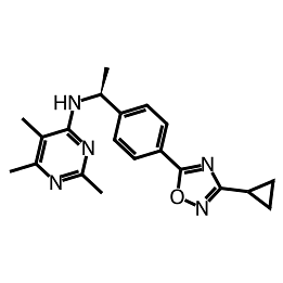 Cc1nc(C)c(C)c(N[C@@H](C)c2ccc(-c3nc(C4CC4)no3)cc2)n1